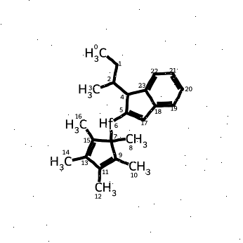 CCC(C)C1[C]([Hf][C]2(C)C(C)=C(C)C(C)=C2C)=Cc2ccccc21